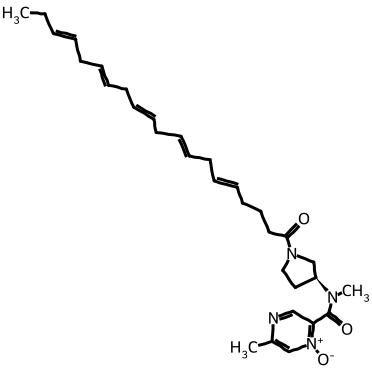 CCC=CCC=CCC=CCC=CCC=CCCCC(=O)N1CC[C@H](N(C)C(=O)c2cnc(C)c[n+]2[O-])C1